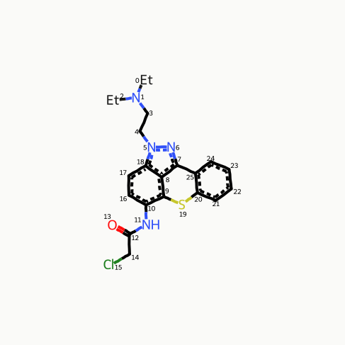 CCN(CC)CCn1nc2c3c(c(NC(=O)CCl)ccc31)Sc1ccccc1-2